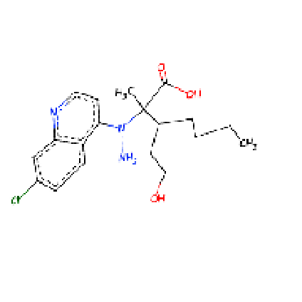 CCCCC(CCO)C(C)(C(=O)O)N(N)c1ccnc2cc(Cl)ccc12